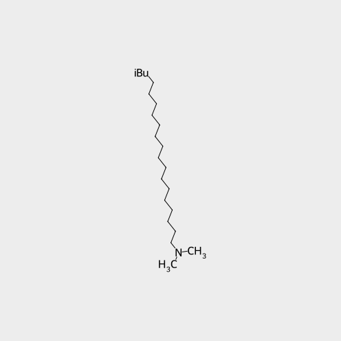 CCC(C)CCCCCCCCCCCCCCCCN(C)C